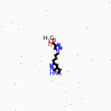 COC(=O)c1cn(CCCCc2cc3cc[nH]c3nn2)nn1